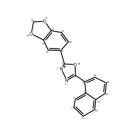 c1ccc2c(-c3nnc(-c4ccc5c(c4)OCO5)o3)cccc2c1